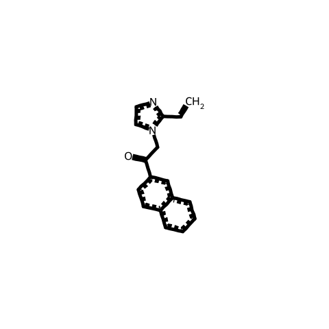 C=Cc1nccn1CC(=O)c1ccc2ccccc2c1